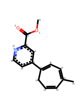 COC(=O)c1cc(C2=CC=C(C)C=CC2)ccn1